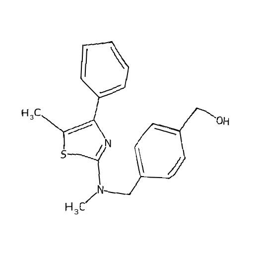 Cc1sc(N(C)Cc2ccc(CO)cc2)nc1-c1ccccc1